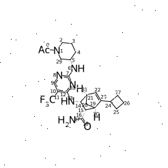 CC(=O)N1CCC[C@H](Nc2ncc(C(F)(F)F)c(N[C@H]3[C@@H](C(N)=O)[C@H]4C[C@@H]3C=C4C3CCC3)n2)C1